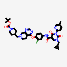 Cc1ccc(-n2c(=O)c(C(=O)Nc3ccc(Oc4ncnc5c4CCN(CC4CCN(C(=O)OC(C)(C)C)CC4)C5)c(F)c3)cn(CC3CC3)c2=O)nc1